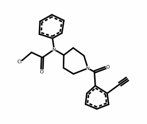 C#Cc1ccccc1C(=O)N1CCC(N(C(=O)CCl)c2ccccc2)CC1